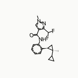 Cn1cc(C(=O)Nc2ccccc2[C@H]2C[C@@]2(C)C2CC2)c(C(F)F)n1